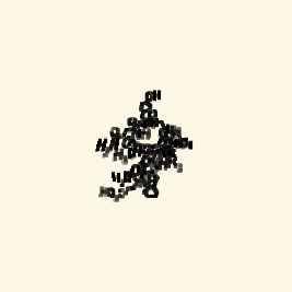 C[C@H](NC(=O)[C@H](C)NC(=O)[C@H](Cc1cnc[nH]1)NC(=O)CNC(=O)[C@H](Cc1ccc(O)cc1)NC(=O)[C@H](CCC(N)=O)NC(=O)[C@@H](C)CC(=O)O)C(=O)N[C@@H](Cc1ccccc1)C(=O)N[C@@H](CCCC(=O)O)C(N)=O